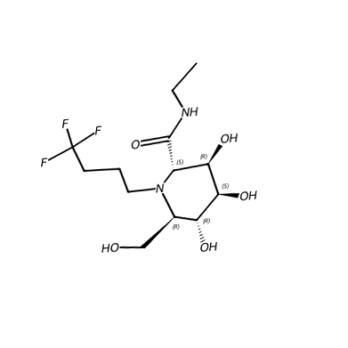 CCNC(=O)[C@@H]1[C@@H](O)[C@@H](O)[C@H](O)[C@@H](CO)N1CCCC(F)(F)F